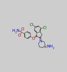 N[C@@H]1CCCN([C@@H]2Cc3c(Cl)cc(Cl)cc3[C@@H]2Oc2ccc(S(N)(=O)=O)cc2)C1